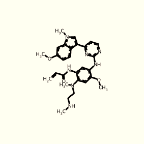 C=CC(=O)Nc1cc(Nc2nccc(-c3cn(C)c4cc(OC)ccc34)n2)c(OC)cc1N(C)CCNC